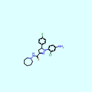 Nc1ccc(N2N=C(C(=S)NN3CCCCCC3)CC2c2ccc(F)cc2)c(Cl)c1